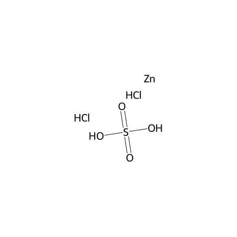 Cl.Cl.O=S(=O)(O)O.[Zn]